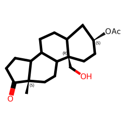 CC(=O)O[C@H]1CC[C@@]2(CO)C(CCC3C2CC[C@]2(C)C(=O)CCC32)C1